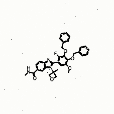 CNC(=O)c1ccc2nc(-c3cc(OC)c(OCc4ccccc4)c(OCc4ccccc4)c3F)n(C3(C)COC3)c2c1